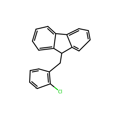 Clc1[c]cccc1CC1c2ccccc2-c2ccccc21